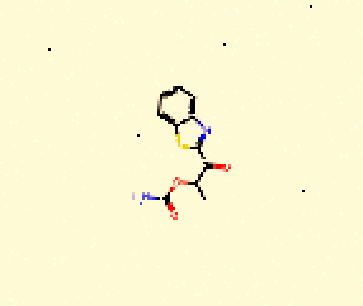 CC(OC(N)=O)C(=O)c1nc2ccccc2s1